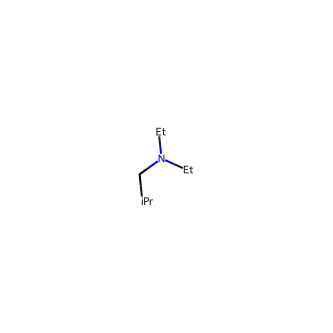 [CH2]C(C)CN(CC)CC